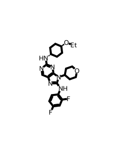 CCO[C@H]1CC[C@H](Nc2ncc3nc(Nc4ccc(F)cc4F)n(C4CCOCC4)c3n2)CC1